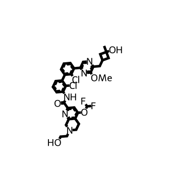 COc1nc(-c2cccc(-c3cccc(NC(=O)c4cc(OC(F)F)c5c(n4)CN(CCO)CC5)c3Cl)c2Cl)cnc1CC1CC(C)(O)C1